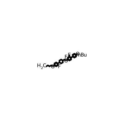 C=CCCCOc1ccc(C2CCC(COc3ccc(-c4ccc(OCCCC)cc4)c(F)c3F)CC2)c(F)c1